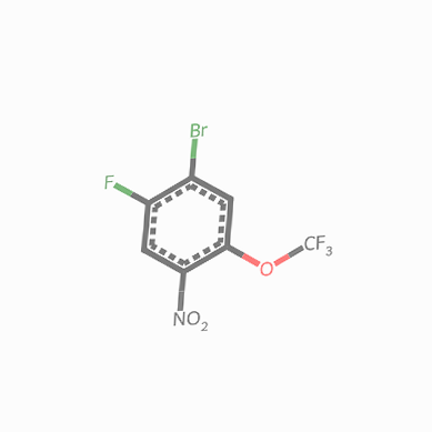 O=[N+]([O-])c1cc(F)c(Br)cc1OC(F)(F)F